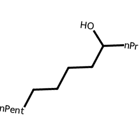 [CH2]CCCCCCCCC(O)CCC